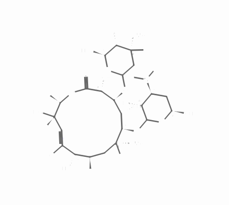 CC[C@H]1OC(=O)[C@H](C)[C@@H](OC2C[C@@](C)(OC)[C@@H](O)[C@H](C)O2)[C@H](C)[C@@H](OC2O[C@H](C)C[C@H](N(C)C)[C@H]2O)[C@](C)(OC)C[C@@H](C)[C@H](O)/C(C)=C/[C@]1(C)O